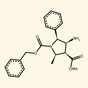 COC(=O)[C@@H]1[C@H](N)[C@H](c2ccccc2)N(C(=O)OCc2ccccc2)[C@@H]1C